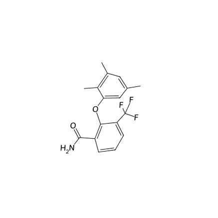 Cc1cc(C)c(C)c(Oc2c(C(N)=O)cccc2C(F)(F)F)c1